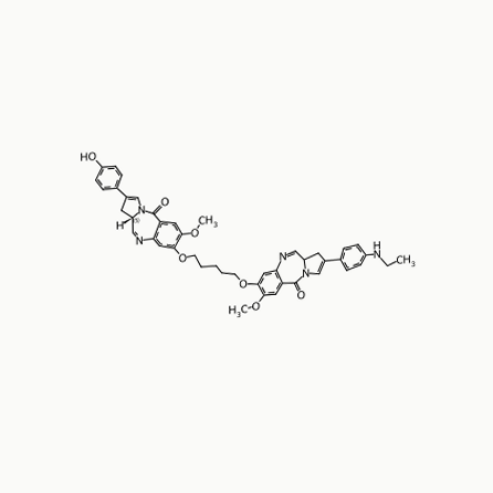 CCNc1ccc(C2=CN3C(=O)c4cc(OC)c(OCCCCCOc5cc6c(cc5OC)C(=O)N5C=C(c7ccc(O)cc7)C[C@H]5C=N6)cc4N=CC3C2)cc1